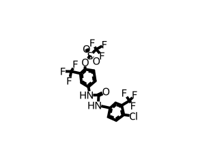 O=C(Nc1ccc(Cl)c(C(F)(F)F)c1)Nc1ccc(OS(=O)(=O)C(F)(F)F)c(C(F)(F)F)c1